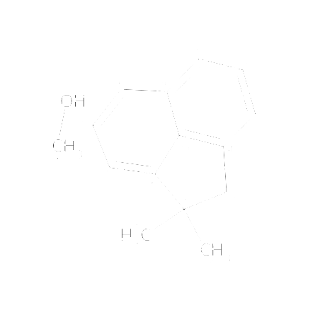 CC1(C)Cc2cccc3cccc1c23.CO